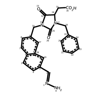 NN=Cc1ccc2ccc(CN3C(=O)C(CC(=O)O)N(Cc4ccccc4)C3=O)cc2c1